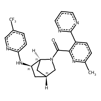 Cc1ccc(-c2ncccn2)c(C(=O)N2C[C@@H]3C[C@@H](Nc4ccc(C(F)(F)F)cn4)[C@@H]2C3)n1